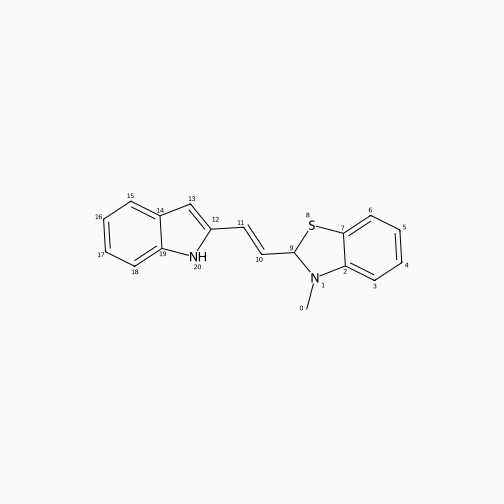 CN1c2ccccc2SC1/C=C/c1cc2ccccc2[nH]1